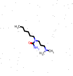 CCCCCCN(CCCN(C)C)C(N)=O